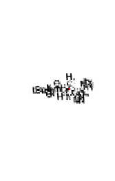 Cc1cc(-c2ncnn3cc(-c4ncccn4)cc23)ccc1CNC(=O)c1noc(C(C)(C)C)n1